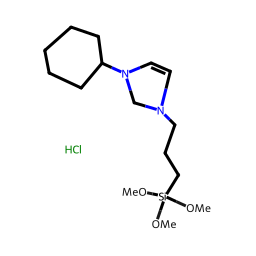 CO[Si](CCCN1C=CN(C2CCCCC2)C1)(OC)OC.Cl